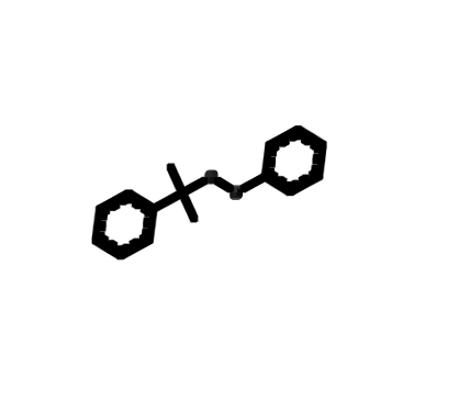 CC(C)(OOc1ccccc1)c1ccccc1